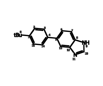 CC(C)(C)c1ccc(-c2ccc3[nH]cnc3c2)cc1